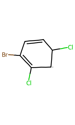 ClC1=C(Br)C=CC(Cl)[CH]1